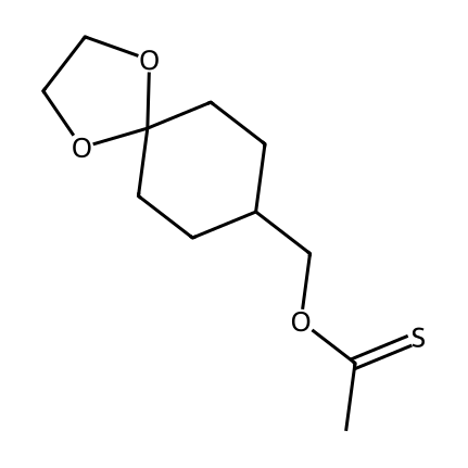 CC(=S)OCC1CCC2(CC1)OCCO2